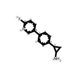 NC1CC1c1ccc(-c2ccc(F)nc2)cc1